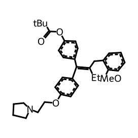 CCC(Cc1ccccc1OC)=C(c1ccc(OCCN2CCCC2)cc1)c1ccc(OC(=O)C(C)(C)C)cc1